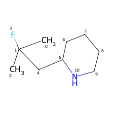 CC(C)(F)CC1CCCCN1